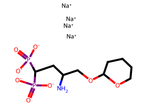 NC(COC1CCCCO1)CC(P(=O)([O-])[O-])P(=O)([O-])[O-].[Na+].[Na+].[Na+].[Na+]